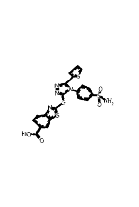 NS(=O)(=O)c1ccc(-n2c(Sc3nc4ccc(C(=O)O)cc4s3)nnc2-c2cccs2)cc1